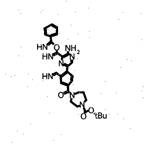 CC(C)(C)OC(=O)N1CCCN(C(=O)c2ccc(-c3cnc(N)c(C(=N)OC(=N)c4ccccc4)n3)c(C=N)c2)CC1